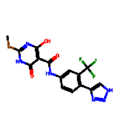 CSc1nc(O)c(C(=O)Nc2ccc(-c3c[nH]nn3)c(C(F)(F)F)c2)c(=O)[nH]1